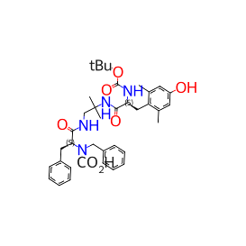 Cc1cc(O)cc(C)c1C[C@H](NC(=O)OC(C)(C)C)C(=O)NC(C)(C)CNC(=O)[C@H](Cc1ccccc1)N(Cc1ccccc1)C(=O)O